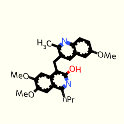 CCCc1nc(O)c(Cc2cc3cc(OC)ccc3nc2C)c2cc(OC)c(OC)cc12